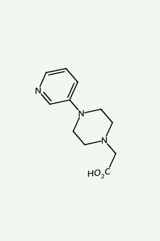 O=C(O)CN1CCN(c2cccnc2)CC1